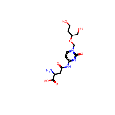 NC(CC(=O)Nc1ccn(CO[C@H](CO)CCO)c(=O)n1)C(=O)O